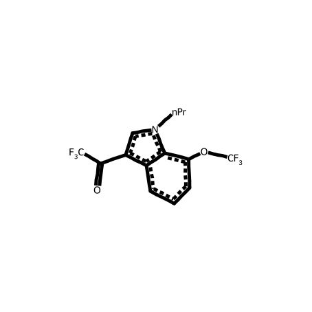 CCCn1cc(C(=O)C(F)(F)F)c2cccc(OC(F)(F)F)c21